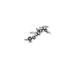 CON=C(C(=O)N[C@@H]1C(=O)N2C(C(=O)O)=C(CSc3nnc(-c4ccc(O)c(O)c4)o3)CS[C@@H]12)c1csc(N)n1